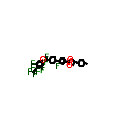 CC1CCC(C2COC(c3ccc(C4CCC(C(F)(F)Oc5cc(F)c(C(F)(F)C(F)F)c(F)c5)CC4)c(F)c3)OC2)CC1